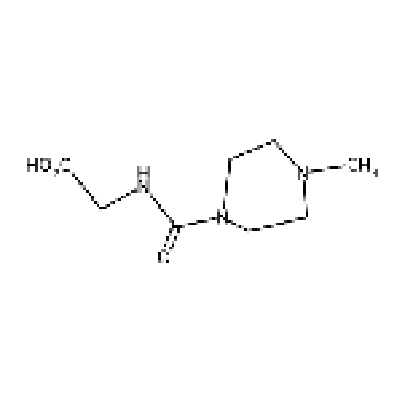 CN1CCN(C(=O)NCC(=O)O)CC1